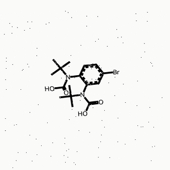 CC(C)(C)N(C(=O)O)c1ccc(Br)cc1N(C(=O)O)C(C)(C)C